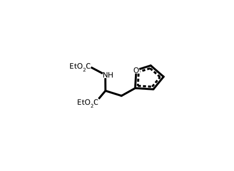 CCOC(=O)NC(Cc1ccco1)C(=O)OCC